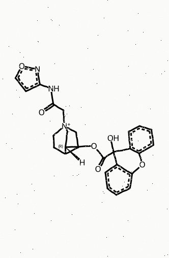 O=C(C[N+]12CCC(CC1)[C@@H](OC(=O)C1(O)c3ccccc3Oc3ccccc31)C2)Nc1ccon1